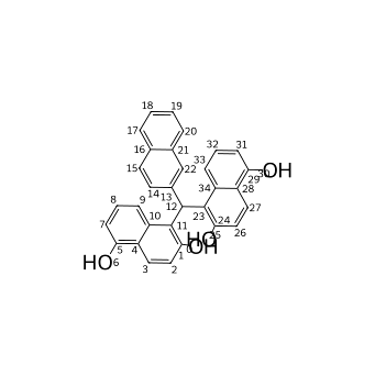 Oc1ccc2c(O)cccc2c1C(c1ccc2ccccc2c1)c1c(O)ccc2c(O)cccc12